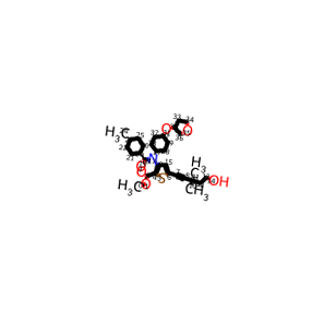 COC(=O)c1sc(C#CC(C)(C)CCO)cc1N(C(=O)[C@H]1CC[C@H](C)CC1)[C@H]1CC[C@H](OC2CCOC2)CC1